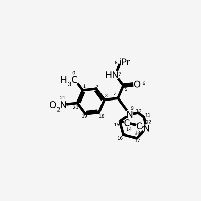 Cc1cc(C(C(=O)NC(C)C)N2CCN3CCC2CC3)ccc1[N+](=O)[O-]